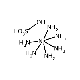 O=S(=O)(O)O.[NH2][Ni]([NH2])([NH2])([NH2])([NH2])[NH2]